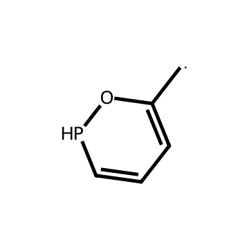 [CH2]C1=CC=CPO1